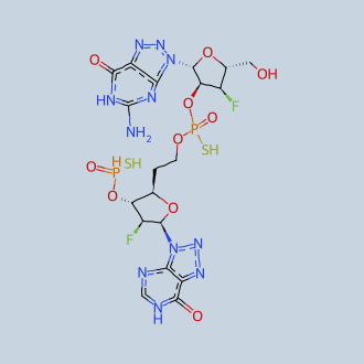 Nc1nc2c(nnn2[C@@H]2O[C@H](CO)[C@@H](F)[C@H]2OP(=O)(S)OCC[C@H]2O[C@@H](n3nnc4c(=O)[nH]cnc43)[C@@H](F)[C@@H]2O[PH](=O)S)c(=O)[nH]1